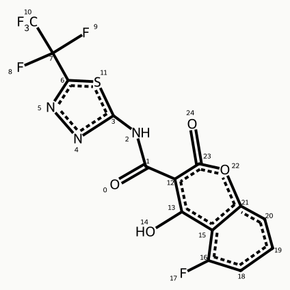 O=C(Nc1nnc(C(F)(F)C(F)(F)F)s1)c1c(O)c2c(F)cccc2oc1=O